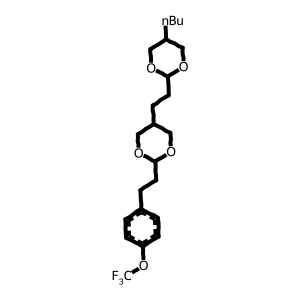 CCCCC1COC(CCC2COC(CCc3ccc(OC(F)(F)F)cc3)OC2)OC1